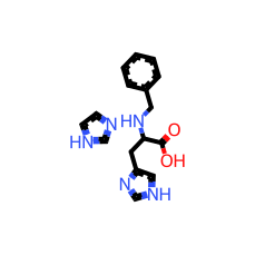 O=C(O)C(Cc1c[nH]cn1)NCc1ccccc1.c1c[nH]cn1